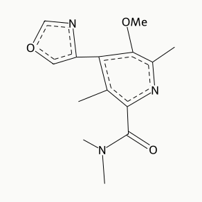 COc1c(C)nc(C(=O)N(C)C)c(C)c1-c1cocn1